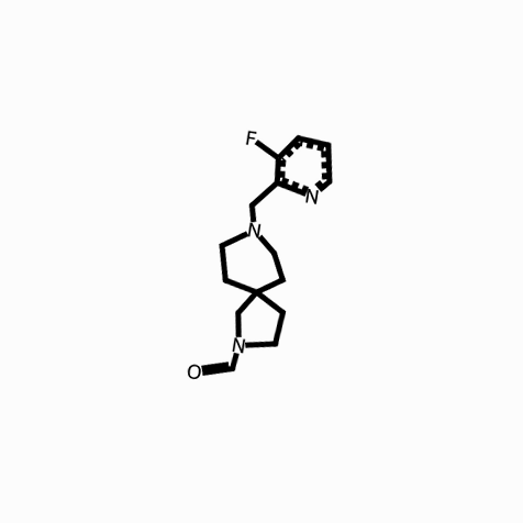 O=CN1CCC2(CCN(Cc3ncccc3F)CC2)C1